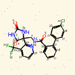 O=C1NC(=O)C(CNC(=O)c2ccccc2-c2ccc(Cl)cc2)(c2ncccc2C(F)(F)F)N1